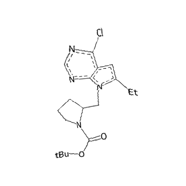 CCc1cc2c(Cl)ncnc2n1CC1CCCN1C(=O)OC(C)(C)C